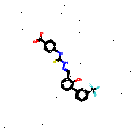 O=C(O)c1ccc(NC(=S)NN=Cc2cccc(-c3cccc(C(F)(F)F)c3)c2O)cc1